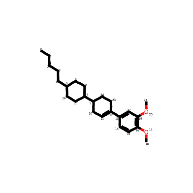 CCCCCC1CCC(C2CC=C(c3ccc(OC)c(OC)c3)CC2)CC1